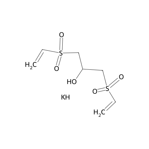 C=CS(=O)(=O)CC(O)CS(=O)(=O)C=C.[KH]